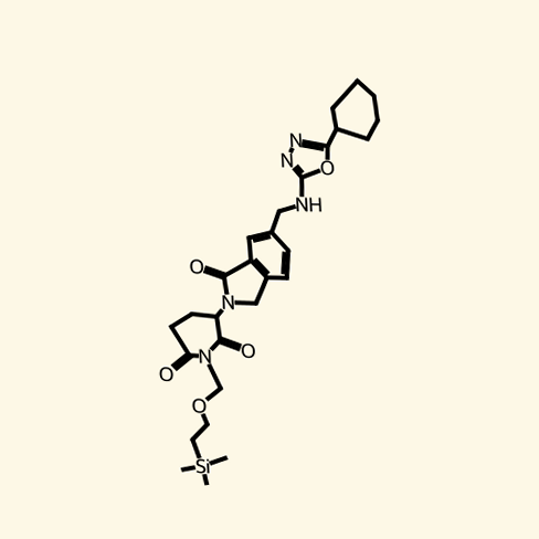 C[Si](C)(C)CCOCN1C(=O)CCC(N2Cc3ccc(CNc4nnc(C5CCCCC5)o4)cc3C2=O)C1=O